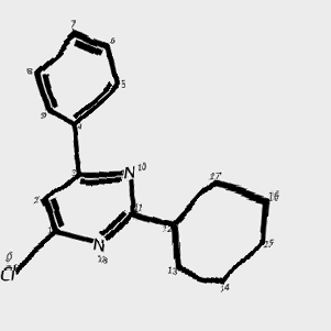 Clc1cc(-c2ccccc2)nc(C2CCCCC2)n1